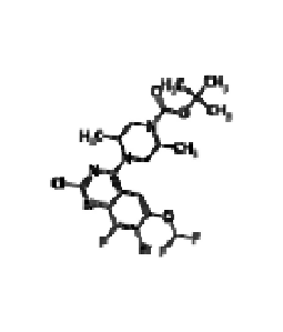 CC1CN(C(=O)OC(C)(C)C)[C@@H](C)CN1c1nc(Cl)nc2c(F)c(Br)c(OC(F)F)cc12